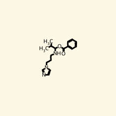 CC(C)C(NCCCn1ccnc1)OC(=O)c1ccccc1